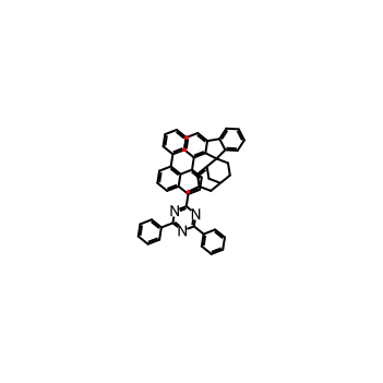 CC1C=C2CC(CCC23c2ccccc2-c2cccc(-c4ccc(-c5nc(-c6ccccc6)nc(-c6ccccc6)n5)c5cccc(-c6ccccc6)c45)c23)C1